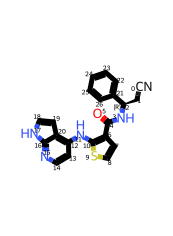 N#CC[C@@H](NC(=O)c1ccsc1Nc1ccnc2[nH]ccc12)c1ccccc1